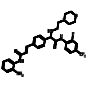 Nc1ccccc1NC(=O)C=Cc1ccc(C(NCCN2CCOCC2)C(=O)Nc2ccc(C(F)(F)F)cc2F)cc1